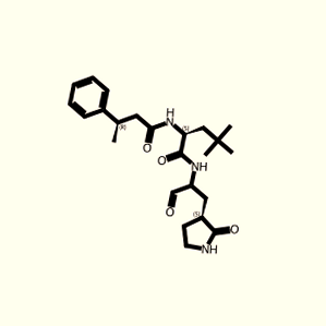 C[C@H](CC(=O)N[C@@H](CC(C)(C)C)C(=O)NC(C=O)C[C@@H]1CCNC1=O)c1ccccc1